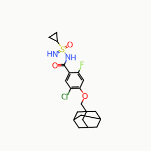 N=S(=O)(NC(=O)c1cc(Cl)c(OCC23CC4CC(CC(C4)C2)C3)cc1F)C1CC1